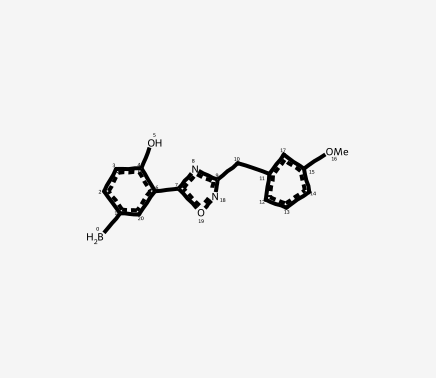 Bc1ccc(O)c(-c2nc(Cc3cccc(OC)c3)no2)c1